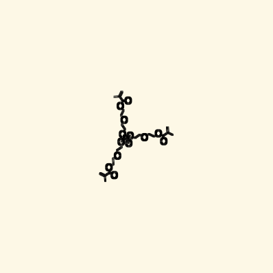 C=C(C)C(=O)OCCOCCOP(=O)(OCCOCCOC(=O)C(=C)C)OCCOCCOC(=O)C(=C)C